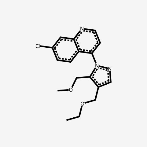 CCOCc1cnn(-c2ccnc3cc(Cl)ccc23)c1COC